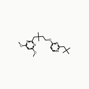 COc1cc(OC)nc(CC(C)(C)CCOc2ccnc(CC(C)(C)C)n2)n1